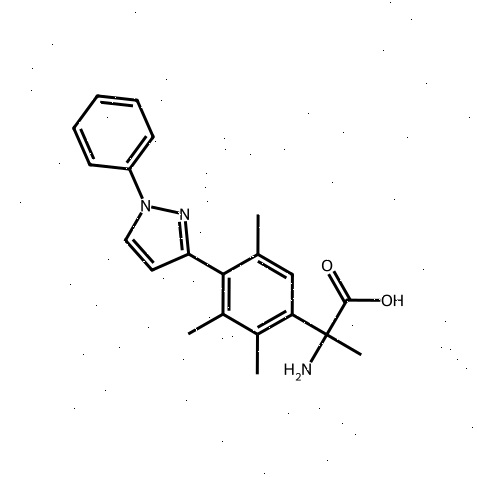 Cc1cc(C(C)(N)C(=O)O)c(C)c(C)c1-c1ccn(-c2ccccc2)n1